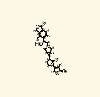 CC1=C(N2CCC(C3C4CN(C[C@H](O)c5ccc6c(c5C)COC6=O)CC43)C2=O)COC1=O